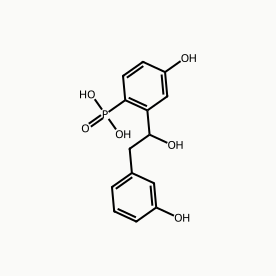 O=P(O)(O)c1ccc(O)cc1C(O)Cc1cccc(O)c1